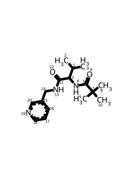 CC(C)C(NC(=O)C(C)(C)C)C(=O)NCc1cccnc1